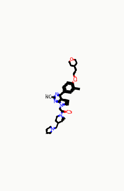 Cc1cc(-c2nc(C#N)nc3c2ccn3CC(=O)N2CCC(CN3CCCC3)CC2)ccc1OCCC1CCOCC1